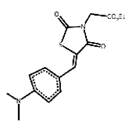 CCOC(=O)CN1C(=O)S/C(=C\c2ccc(N(C)C)cc2)C1=O